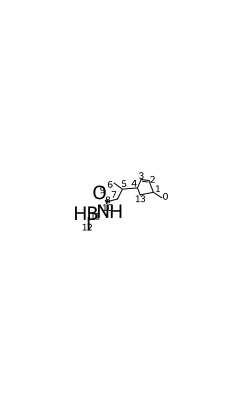 CC1C=CC(C(C)CC(=O)NBI)C1